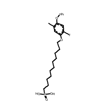 CCCOc1cc(F)c(OCCCCCCCCCCCP(=O)(O)O)cc1C